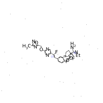 CC/N=C(/N)[C@@]1(CF)CC[C@@H](c2cc(/C=C(\F)c3cnc(OCc4nc(C)no4)cn3)ccc2F)S1(=O)=O